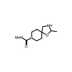 CNC(=O)N1CCC2(CC1)CNC(C)O2